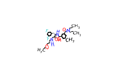 CCCN(CCC)C(=O)c1cc(C)cc(C(=O)N[C@@H](Cc2cc(F)cc(F)c2)[C@H](O)CNCCCOCC)c1